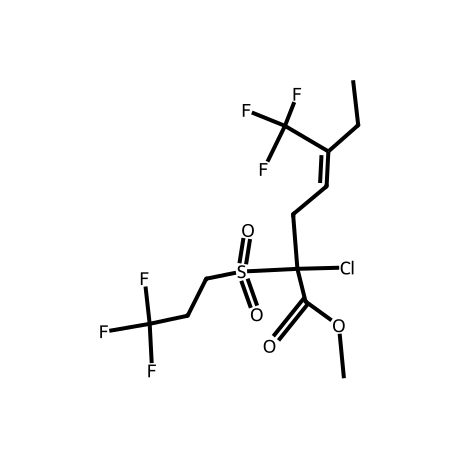 CCC(=CCC(Cl)(C(=O)OC)S(=O)(=O)CCC(F)(F)F)C(F)(F)F